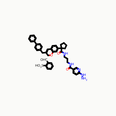 NNc1ccc(C(=O)NCCCNC(=O)C2(c3ccc4c(c3)OCC(Cc3ccc(-c5ccccc5)cc3)=C4)CCCC2)cn1.O=Cc1ccccc1S(=O)(=O)O